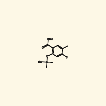 COC(=O)c1cc(C)c(F)cc1O[Si](C)(C)C(C)(C)C